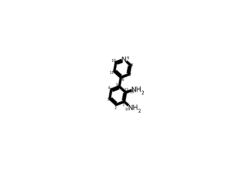 Nc1cccc(-c2ccncc2)c1N